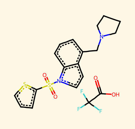 O=C(O)C(F)(F)F.O=S(=O)(c1cccs1)n1ccc2c(CN3CCCC3)cccc21